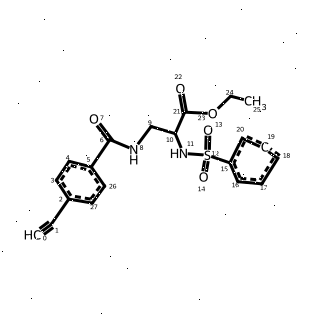 C#Cc1ccc(C(=O)NCC(NS(=O)(=O)c2ccccc2)C(=O)OCC)cc1